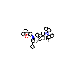 CC1(C)c2cc(N(c3ccc(-c4ccccc4)cc3)c3ccc4c(c3)Oc3cccc5cccc-4c35)ccc2-c2ccc(N(c3cccc4ccccc34)c3cccc4ccccc34)cc21